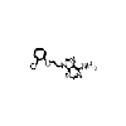 Nc1ncnc2c1ncn2CCOc1ccccc1Cl